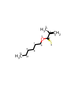 C=C(C)C(=S)OCCCCCC